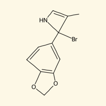 CC1=CNC1(Br)c1ccc2c(c1)OCO2